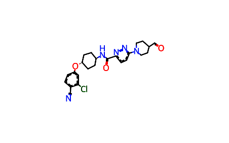 N#Cc1ccc(O[C@H]2CC[C@H](NC(=O)c3ccc(N4CCC(C=O)CC4)nn3)CC2)cc1Cl